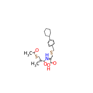 CC(=O)SC[C@@H](C)C(=O)N[C@@H](CSCc1ccc(C2CCCCC2)cc1)C(=O)O